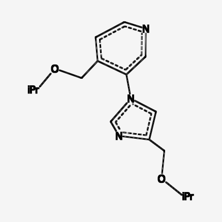 CC(C)OCc1cn(-c2cnccc2COC(C)C)cn1